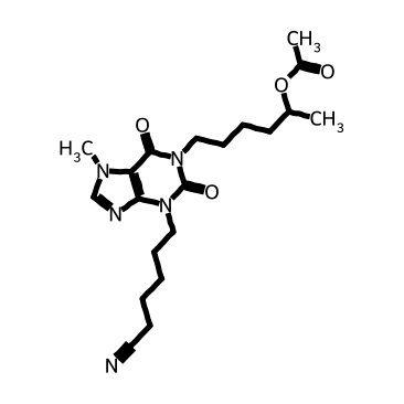 CC(=O)OC(C)CCCCn1c(=O)c2c(ncn2C)n(CCCCCC#N)c1=O